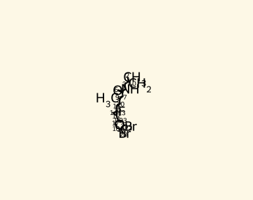 C=C(C)CNC(=O)/C=C(C)/C=C/[C@@]1(F)CC1c1ccc(Br)c(Br)c1